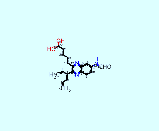 C=C/C=C(\C=C)c1nc2ccc(NC=O)cc2nc1CCCCC(O)O